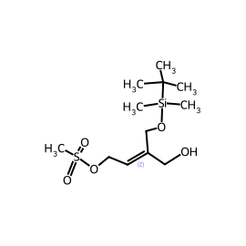 CC(C)(C)[Si](C)(C)OC/C(=C\COS(C)(=O)=O)CO